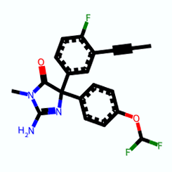 CC#Cc1cc(C2(c3ccc(OC(F)F)cc3)N=C(N)N(C)C2=O)ccc1F